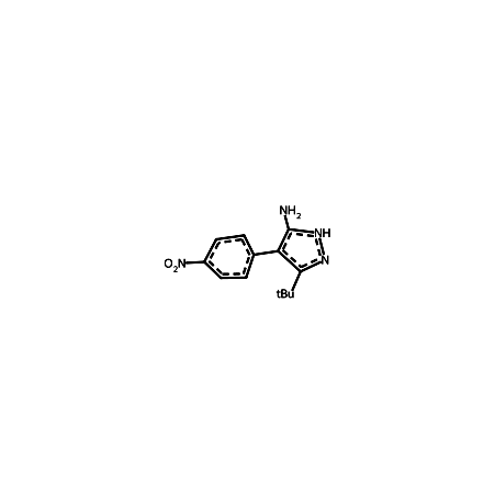 CC(C)(C)c1n[nH]c(N)c1-c1ccc([N+](=O)[O-])cc1